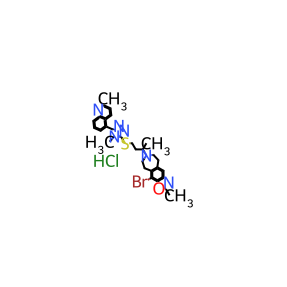 Cc1ccc2c(-c3nnc(SCCC(C)N4CCc5cc6nc(C)oc6c(Br)c5CC4)n3C)cccc2n1.Cl